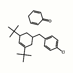 CC(C)(C)C1=CC(C(C)(C)C)CC(Cc2ccc(Cl)cc2)C1.O=C1C=CCC=C1